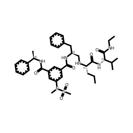 CCC[C@H](NC[C@H](Cc1ccccc1)NC(=O)c1cc(C(=O)N[C@H](C)c2ccccc2)cc(N(C)S(C)(=O)=O)c1)C(=O)N[C@H](C(=O)NCC)C(C)C